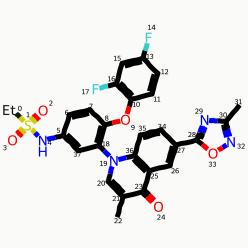 CCS(=O)(=O)Nc1ccc(Oc2ccc(F)cc2F)c(-n2cc(C)c(=O)c3cc(-c4nc(C)no4)ccc32)c1